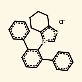 [Cl-].c1ccc(-c2cccc(-c3ccccc3)c2-[n+]2csc3c2CCCC3)cc1